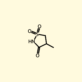 CC1CS(=O)(=O)NC1=O